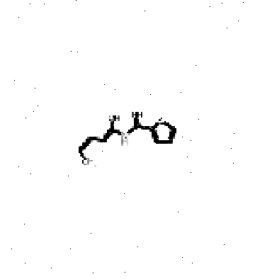 C/C=C\C=C(/O)NC(=N)c1cccs1